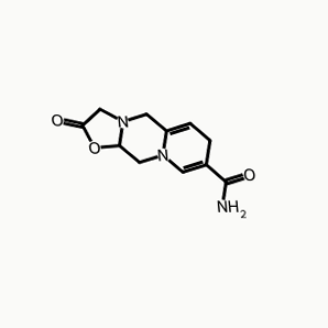 NC(=O)C1=CN2CC3OC(=O)CN3CC2=CC1